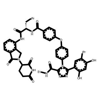 CCNC(=O)c1nnc(-c2cc(C(C)C)c(O)cc2O)n1-c1ccc(Oc2ccc(C(=O)N[C@@H](CC(C)C)C(=O)Nc3cccc4c3CN(C3CCC(=O)NC3=O)C4=O)cc2)cc1